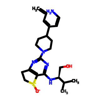 C=C/C=C(\C=C/N)C1CCN(c2nc3c(c(N[C@@H](CO)C(C)C)n2)[S+]([O-])CC3)CC1